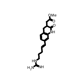 COC(=O)CC1Cc2ccc(/C=C/CCCNC(=N)N)cc2NC1=O